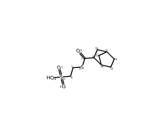 O=C(SCCS(=O)(=O)O)C1CC2CCC1C2